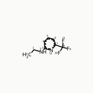 [CH2]CNc1cccc(C(F)(F)F)n1